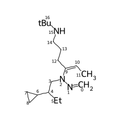 C=NN(CC(CC)C1CC1)/C(=C\C)CCCNC(C)(C)C